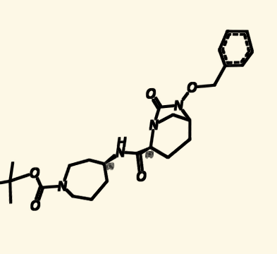 CC(C)(C)OC(=O)N1CCC[C@H](NC(=O)[C@@H]2CCC3CN2C(=O)N3OCc2ccccc2)CC1